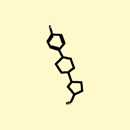 CCCC1CCC(C2CCC(c3ccc(F)cc3)CC2)C1